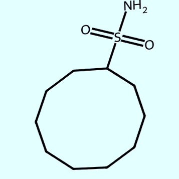 NS(=O)(=O)C1CCCCCCCCC1